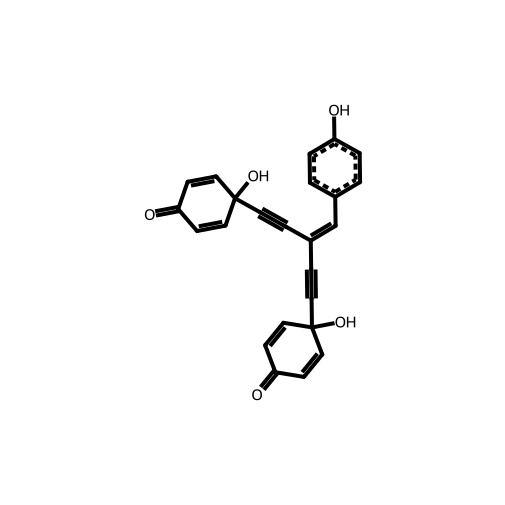 O=C1C=CC(O)(C#CC(C#CC2(O)C=CC(=O)C=C2)=Cc2ccc(O)cc2)C=C1